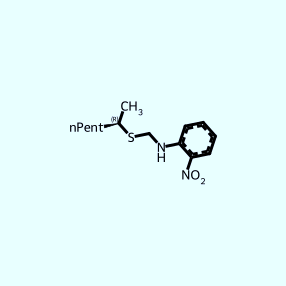 CCCCC[C@@H](C)SCNc1ccccc1[N+](=O)[O-]